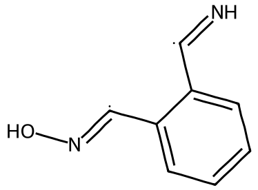 N=[C]c1ccccc1[C]=NO